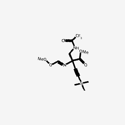 COO/C=N/C(C#C[Si](C)(C)C)(CNC(=O)C(F)(F)F)C(=O)OC